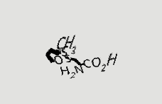 CC1(SSC[C@H](N)C(=O)O)CC=CO1